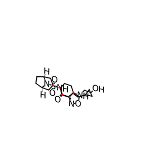 O=C(N[C@H]1C[C@H]2CC[C@@H](C1)N2S(=O)(=O)[C@H]1CC[C@@H](NCCO)CC1)c1cc(C2CC2)on1